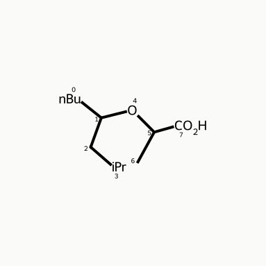 CCCCC(CC(C)C)OC(C)C(=O)O